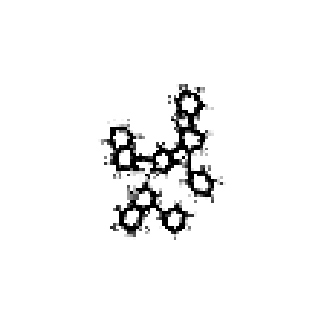 c1ccc(-c2cc(-n3c4cc5c(cc4c4c6ccccc6ccc43)c3c4sc6ccccc6c4ccc3n5-c3ccccc3)nc3ccccc23)cc1